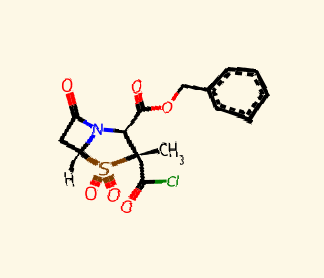 C[C@]1(C(=O)Cl)[C@H](C(=O)OCc2ccccc2)N2C(=O)C[C@H]2S1(=O)=O